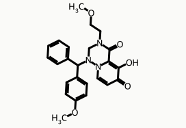 COCCN1CN(C(c2ccccc2)c2ccc(OC)cc2)n2ccc(=O)c(O)c2C1=O